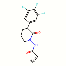 C=CC(=O)NN1CCCC(c2cc(F)c(F)c(F)c2)C1=O